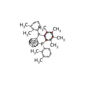 Cc1cccc(P(c2cccc(C)c2C)[C]23[CH]4[CH]5[CH]6[C]2(P(c2cccc(C)c2C)c2cccc(C)c2C)[Ru]54632789[CH]3[CH]2[CH]7[CH]8[CH]39)c1C